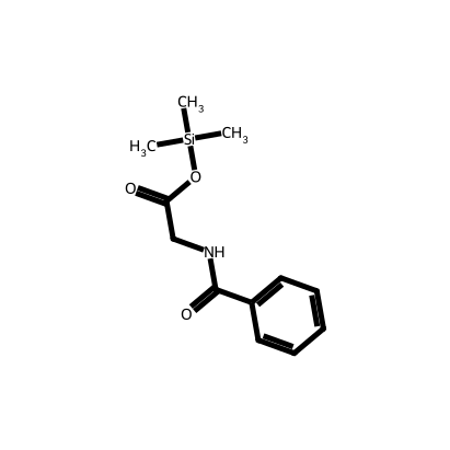 C[Si](C)(C)OC(=O)CNC(=O)c1ccccc1